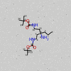 CCCC(N)(CCNC(=O)OC(C)(C)C)CCNC(=O)OC(C)(C)C